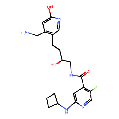 NCc1cc(O)ncc1CC[C@H](O)CNC(=O)c1cc(NC2CCC2)ncc1F